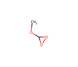 COC1OO1